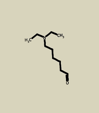 CCN(CC)CCCCCC=O